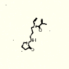 C=CN(CCCNN1CCCC1=O)C(=O)C(=C)C